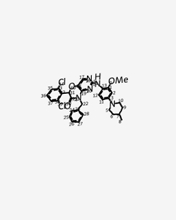 COc1cc(N2CCC(C)CC2)ccc1Nc1ncc2c(n1)N(Cc1ccccc1)C(=O)C(c1c(Cl)cccc1Cl)O2